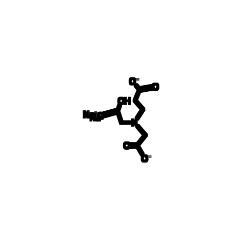 O=C([O-])CCN(CC(=O)[O-])CC(=O)O.[Na+].[Na+]